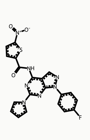 O=C(Nc1nc(-n2cccc2)nc2c1cnn2-c1ccc(F)cc1)c1ccc([N+](=O)[O-])s1